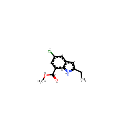 CCc1cc2cc(Cl)cc(C(=O)OC)c2[nH]1